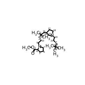 COC(=O)C1CCCN1CCSC(C)(C)CC1CCN(CCSC(C)(C)C)C1